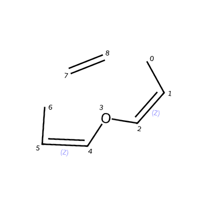 C/C=C\O/C=C\C.C=C